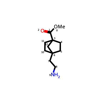 COC(=O)C12CCC(CCN)(CC1)C2